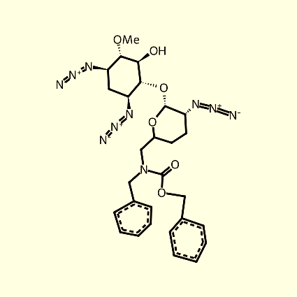 CO[C@@H]1[C@@H](O)[C@H](O[C@H]2OC(CN(Cc3ccccc3)C(=O)OCc3ccccc3)CC[C@H]2N=[N+]=[N-])[C@@H](N=[N+]=[N-])C[C@H]1N=[N+]=[N-]